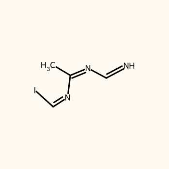 CC(/N=C\I)=N/C=N